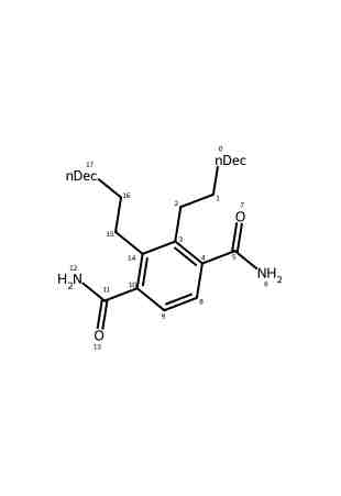 CCCCCCCCCCCCc1c(C(N)=O)ccc(C(N)=O)c1CCCCCCCCCCCC